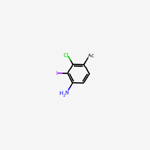 CC(=O)c1ccc(N)c(I)c1Cl